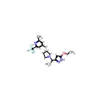 CCOc1cc(C(C)N2CC[C@H](Cc3cc(C)nc(C(F)(F)F)c3)C2)n[nH]1